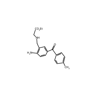 CCOC(=O)CNCc1cc(C(=O)c2ccc(C)cc2)ccc1N